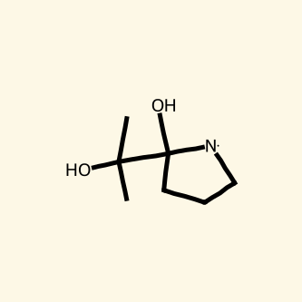 CC(C)(O)C1(O)CCC[N]1